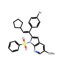 COc1cnc2c(c1)cc(/C(=C/C1CCCC1)c1ccc(C(C)=O)cc1)n2S(=O)(=O)c1ccccc1